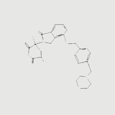 [2H]C1CC([2H])(N2Cc3c(OCc4ccc(CN5CCOCC5)cc4)cccc3C2=O)C(=O)NC1=O